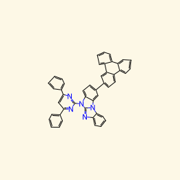 c1ccc(-c2cc(-c3ccccc3)nc(-n3c4ccc(-c5ccc6c7ccccc7c7ccccc7c6c5)cc4n4c5ccccc5nc34)n2)cc1